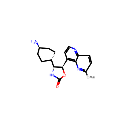 COc1ccc2nccc([C@H]3OC(=O)N[C@@H]3[C@H]3CC[C@H](N)CC3)c2n1